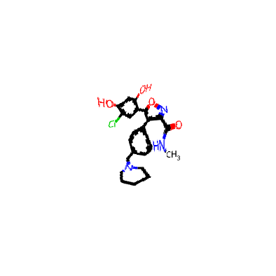 CNC(=O)c1noc(-c2cc(Cl)c(O)cc2O)c1-c1ccc(CN2CCCCC2)cc1